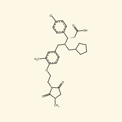 Cc1cc(CN(CC2CCCC2)[C@@H](CC(=O)O)c2ccc(Cl)cc2)ccc1OCCN1C(=O)CN(C)C1=O